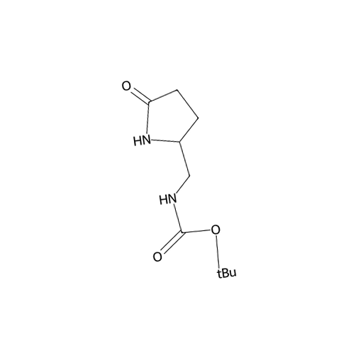 CC(C)(C)OC(=O)NCC1CCC(=O)N1